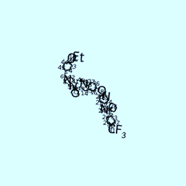 CCOc1ccc(CN2CCN(C(=O)c3cc4cc(Oc5ccc(N(C)C(=O)c6ccc(C(F)(F)F)cc6)cn5)ccc4n3C)CC2)cc1